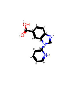 O=C(O)c1ccc2ncn(-c3ccccn3)c2c1